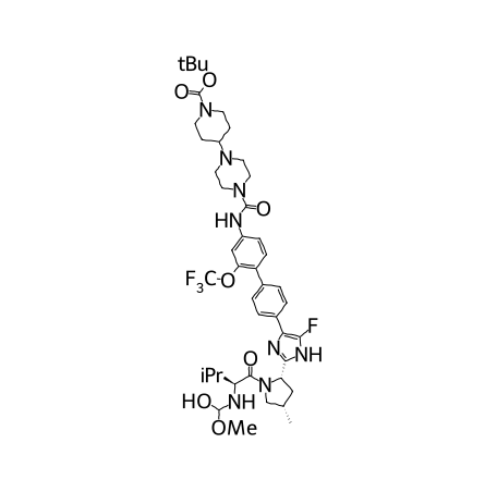 COC(O)N[C@H](C(=O)N1C[C@@H](C)C[C@H]1c1nc(-c2ccc(-c3ccc(NC(=O)N4CCN(C5CCN(C(=O)OC(C)(C)C)CC5)CC4)cc3OC(F)(F)F)cc2)c(F)[nH]1)C(C)C